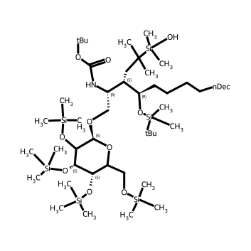 CCCCCCCCCCCCCC[C@@H](O[Si](C)(C)C(C)(C)C)[C@@H](CC(C)(C)[Si](C)(C)O)[C@H](CO[C@H]1OC(CO[Si](C)(C)C)[C@H](O[Si](C)(C)C)[C@H](O[Si](C)(C)C)C1O[Si](C)(C)C)NC(=O)OC(C)(C)C